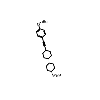 CCCCC[C@H]1CC[C@H](C2CCC(C#Cc3ccc(OCCCC)cc3)CC2)CC1